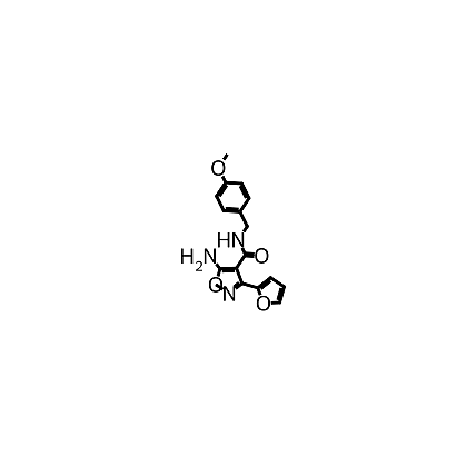 COc1ccc(CNC(=O)c2c(-c3ccco3)noc2N)cc1